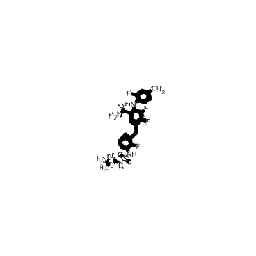 Cc1ccc(Nc2c(C(N)=O)cc(Cc3cccc(NS(=O)(=O)NC(=O)OC(C)(C)C)c3F)c(F)c2F)c(F)c1